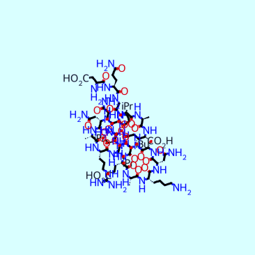 CC[C@H](C)[C@H](NC(=O)[C@H](CC(C)C)NC(=O)[C@H](CCCNC(=N)N)NC(=O)[C@H](C)NC(=O)[C@H](CC(N)=O)NC(=O)[C@@H]1CCCN1C(=O)CNC(=O)[C@H](CCC(N)=O)NC(=O)[C@@H](N)CC(=O)O)C(=O)N[C@@H](CCC(=O)O)C(=O)N[C@@H](C)C(=O)N[C@@H](CCCCN)C(=O)N[C@@H](CC(N)=O)C(=O)N[C@@H](C)C(=O)NCC(=O)N[C@@H](CC(C)C)C(=O)N[C@@H](CCC(N)=O)C(=O)N[C@H](C(=O)N[C@@H](C)C(=O)N[C@@H](CCCNC(=N)N)C(=O)O)C(C)C